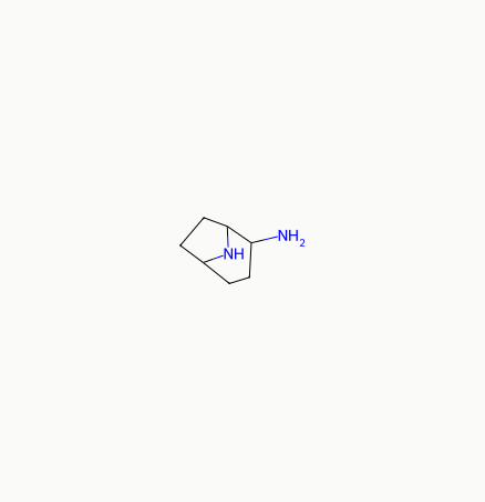 NC1CCC2CCC1N2